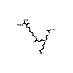 CCCCCCCCCC(=O)OCCN(CCCCO)CCC(=O)OCCCCOC(=O)C(CCCC)CCCCCC